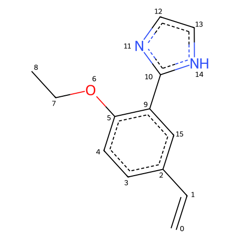 C=Cc1ccc(OCC)c(-c2ncc[nH]2)c1